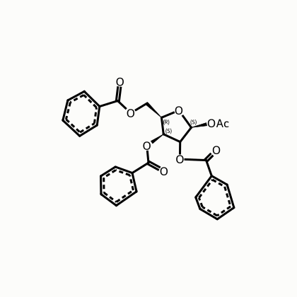 CC(=O)O[C@@H]1O[C@H](COC(=O)c2ccccc2)[C@H](OC(=O)c2ccccc2)C1OC(=O)c1ccccc1